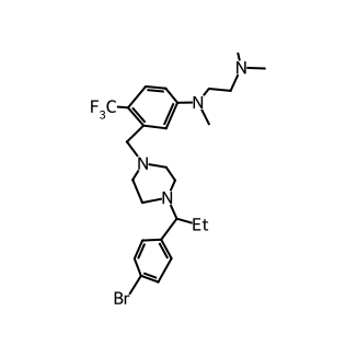 CCC(c1ccc(Br)cc1)N1CCN(Cc2cc(N(C)CCN(C)C)ccc2C(F)(F)F)CC1